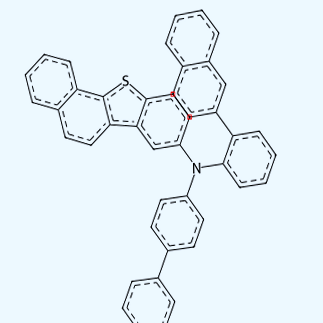 c1ccc(-c2ccc(N(c3ccc4sc5c6ccccc6ccc5c4c3)c3ccccc3-c3ccc4ccccc4c3)cc2)cc1